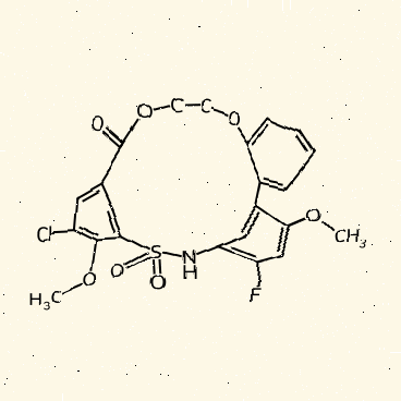 COc1cc(F)c2cc1-c1ccccc1OCCOC(=O)c1cc(Cl)c(OC)c(c1)S(=O)(=O)N2